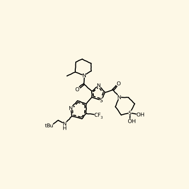 CC1CCCCN1C(=O)c1nc(C(=O)N2CCS(O)(O)CC2)sc1-c1cnc(NCC(C)(C)C)cc1C(F)(F)F